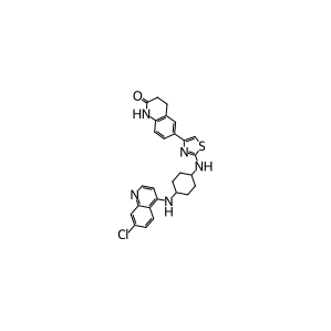 O=C1CCc2cc(-c3csc(NC4CCC(Nc5ccnc6cc(Cl)ccc56)CC4)n3)ccc2N1